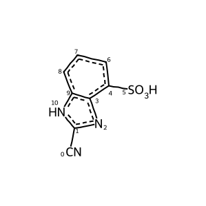 N#Cc1nc2c(S(=O)(=O)O)cccc2[nH]1